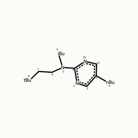 CCCCc1cnc(N(CCC(C)(C)C)C(C)CC)nc1